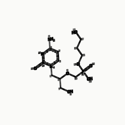 Nc1ccn(CC(CO)OCP(=O)(O)OCCCO)c(=O)n1